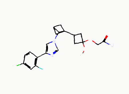 NC(=O)COC1(OC(F)(F)F)CC(C23CC(C2)C3n2cnc(-c3ccc(Cl)cc3F)c2)C1